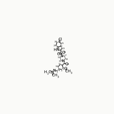 COc1cc(C=NN(C)C)ccc1C(=O)N1CCN(S(=O)(=O)c2cc3cc(Cl)ccc3[nH]2)CC1